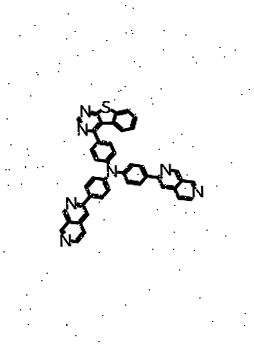 c1ccc2c(c1)sc1ncnc(-c3ccc(N(c4ccc(-c5cc6ccncc6cn5)cc4)c4ccc(-c5cc6ccncc6cn5)cc4)cc3)c12